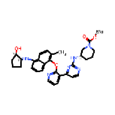 Cc1ccc2c(N[C@@H]3CCC[C@H]3O)cccc2c1Oc1ncccc1-c1ccnc(N[C@H]2CCCN(C(=O)OC(C)(C)C)C2)n1